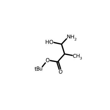 CC(C(=O)OC(C)(C)C)C(N)O